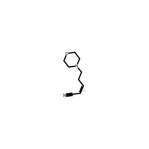 N#C/C=C\CCN1CCOCC1